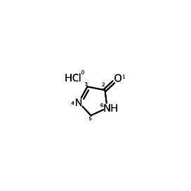 Cl.O=C1C=NCN1